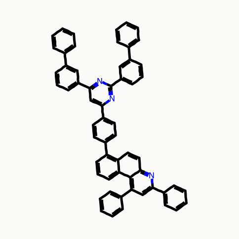 c1ccc(-c2cccc(-c3cc(-c4ccc(-c5cccc6c5ccc5nc(-c7ccccc7)cc(-c7ccccc7)c56)cc4)nc(-c4cccc(-c5ccccc5)c4)n3)c2)cc1